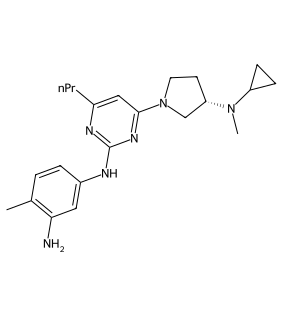 CCCc1cc(N2CC[C@H](N(C)C3CC3)C2)nc(Nc2ccc(C)c(N)c2)n1